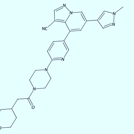 Cn1cc(-c2cc(-c3ccc(N4CCN(C(=O)CC5CCOCC5)CC4)nc3)c3c(C#N)cnn3c2)cn1